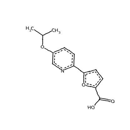 CC(C)Oc1ccc(-c2ccc(C(=O)O)o2)nc1